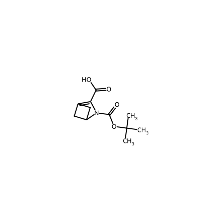 CC(C)(C)OC(=O)N1C(C(=O)O)=C2CC1C2